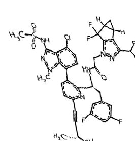 C[C@@H](O)C#Cc1ccc(-c2ccc(Cl)c3c(NS(C)(=O)=O)nn(C)c23)c([C@H](Cc2cc(F)cc(F)c2)NC(=O)Cn2nc(C(F)F)c3c2C(F)(F)[C@@H]2C[C@H]32)n1